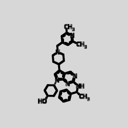 Cc1cc(CN2CCC(c3cn([C@H]4CC[C@H](O)CC4)c4nc(N[C@@H](C)c5ccccc5)ncc34)CC2)cc(C)n1